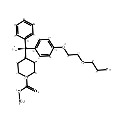 CC(C)(C)OC(=O)N1CCC([C@](O)(c2ccccc2)c2ccc(OCCOCCF)cc2)CC1